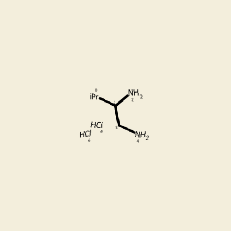 CC(C)C(N)CN.Cl.Cl